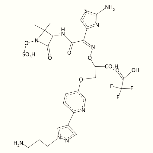 CC1(C)[C@H](NC(=O)/C(=N\OC(COc2ccc(-c3cnn(CCCN)c3)nc2)C(=O)O)c2csc(N)n2)C(=O)N1OS(=O)(=O)O.O=C(O)C(F)(F)F